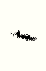 CNC1(C(=O)N(C=O)CCN2CCC(CNC(=O)c3cc(F)cc(C(F)(F)F)c3)CC2)CCC1